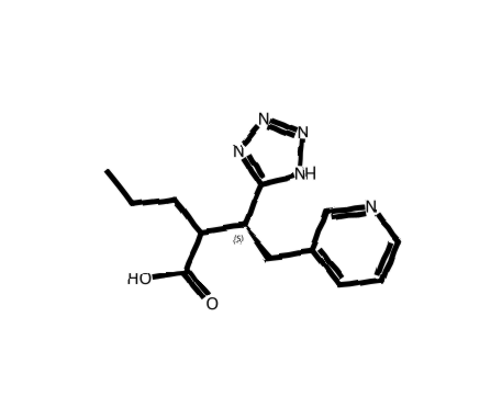 CCCC(C(=O)O)[C@H](Cc1cccnc1)c1nnn[nH]1